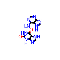 Nc1ncnc2nc[nH]c12.O=c1[nH]c(=O)c2[nH]cnc2[nH]1